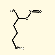 CCCCCCCCC(CCC)[O][Sn]=[O]